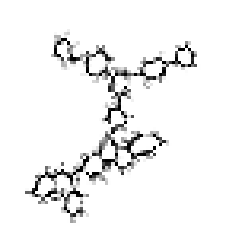 c1ccc(-c2ccc(-c3nc(-c4ccc(-c5ccccc5)cc4)nc(-c4ccc(-c5nc6cc(-c7cc8ccccc8c8ccccc78)ccc6c6oc7ccccc7c56)cc4)n3)cc2)cc1